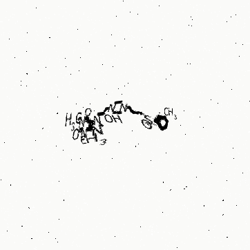 Cc1cccc([S+]([O-])CCCN2CCN(CC(O)Cn3cnc4c3c(=O)n(C)c(=O)n4C)CC2)c1